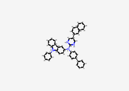 c1ccc(-c2ccc(N(c3ccc4c(c3)c3ccccc3n4-c3ccccc3)c3ncc(-c4ccc5ccccc5c4)cn3)cc2)cc1